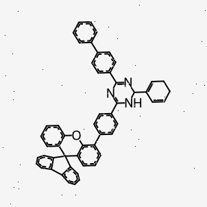 C1=CC(C2N=C(c3ccc(-c4ccccc4)cc3)N=C(c3ccc(-c4cccc5c4Oc4ccccc4C54c5ccccc5-c5ccccc54)cc3)N2)=CCC1